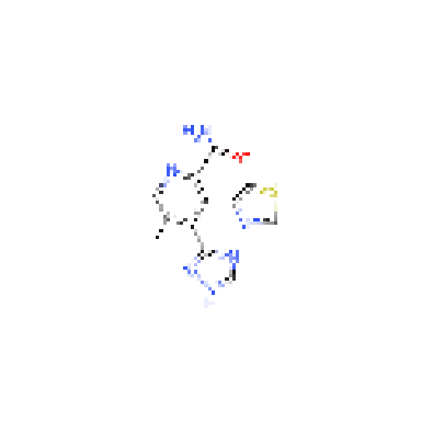 Cc1cnc(C(N)=O)c(-c2cscn2)c1-c1nc[nH]n1